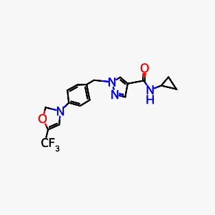 O=C(NC1CC1)c1cnn(Cc2ccc(N3C=C(C(F)(F)F)OC3)cc2)c1